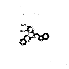 CCCCC(NC(=O)C(Cc1csc2ccccc12)NC(=O)OCc1ccccc1)C(=O)OC